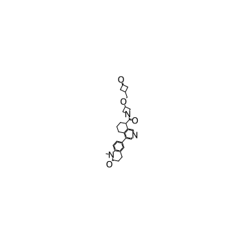 CN1C(=O)CCc2cc(-c3cncc4c3CCCC4C(=O)N3CC(OCC4CC(=O)C4)C3)ccc21